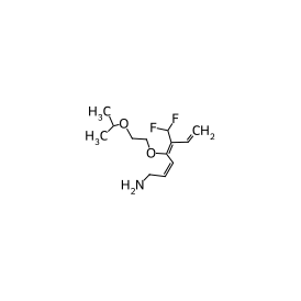 C=C/C(=C(\C=C/CN)OCCOC(C)C)C(F)F